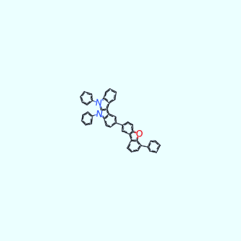 c1ccc(-c2cccc3c2oc2ccc(-c4ccc5c(c4)c4c6ccccc6n(-c6ccccc6)c4n5-c4ccccc4)cc23)cc1